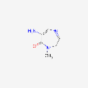 CN1CC=NC=C(N)C1=O